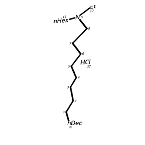 CCCCCCCCCCCCCCCCCCN(CC)CCCCCC.Cl